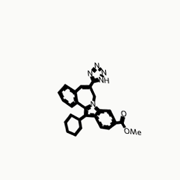 COC(=O)c1ccc2c(C3CCCCC3)c3n(c2c1)CC(c1nnn[nH]1)=Cc1ccccc1-3